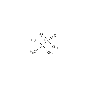 CC(C)(C)[SH](C)(C)=O